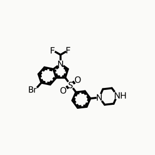 O=S(=O)(c1cccc(N2CCNCC2)c1)c1cn(C(F)F)c2ccc(Br)cc12